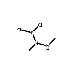 CNN(C)P(Cl)Cl